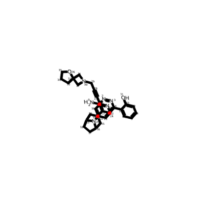 Nc1nnc(-c2ccccc2O)cc1N1CC2CCC(C1)N2c1ccnc(C#CCN2CC3(CCCO3)C2)c1